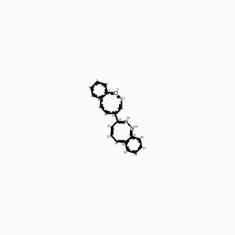 [c]1soc2ccccc2ccc1C1=N/N=c2/cccc/c2=C/C=C\1